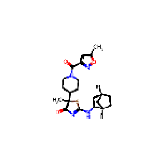 Cc1cc(C(=O)N2CCC(C3(C)SC(NC4C[C@@H]5CC[C@H]4C5)=NC3=O)CC2)no1